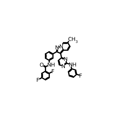 Cc1ccc2c(-c3ccnc(Nc4cccc(F)c4)n3)c(-c3cccc(NC(=O)c4cc(F)ccc4F)c3)nn2c1